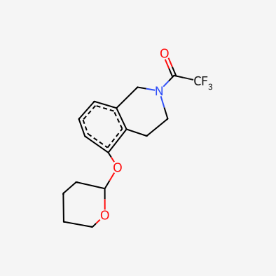 O=C(N1CCc2c(cccc2OC2CCCCO2)C1)C(F)(F)F